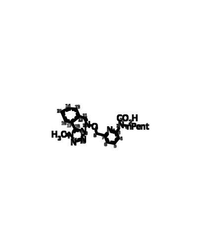 CCCCCN(C(=O)O)c1cccc(CON=Cc2ccccc2-c2nnnn2C)n1